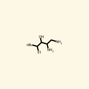 CCCCC(CC)C(O)C(N)CN